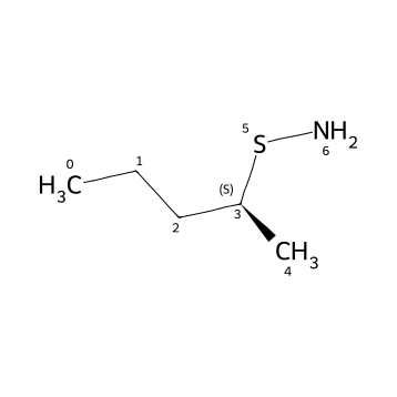 CCC[C@H](C)SN